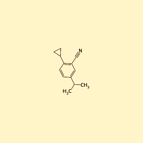 [CH2]C(C)c1ccc(C2CC2)c(C#N)c1